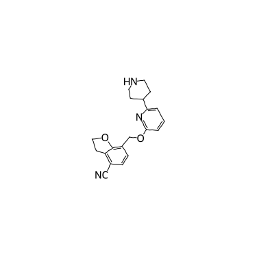 N#Cc1ccc(COc2cccc(C3CCNCC3)n2)c2c1CCO2